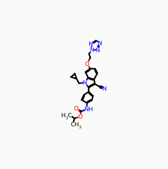 CC(C)OC(=O)Nc1ccc(-c2c(C#N)c3ccc(OCCn4ncnn4)cc3n2CC2CC2)cc1